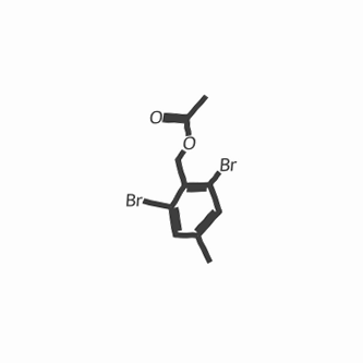 CC(=O)OCc1c(Br)cc(C)cc1Br